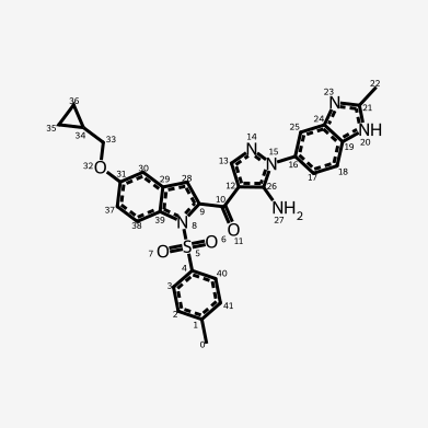 Cc1ccc(S(=O)(=O)n2c(C(=O)c3cnn(-c4ccc5[nH]c(C)nc5c4)c3N)cc3cc(OCC4CC4)ccc32)cc1